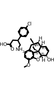 COc1ccc2c3c1O[C@H]1[C@@H](O)C=C[C@H]4[C@@H](C2)N(C)CC[C@@]341.NCC(CC(=O)O)c1ccc(Cl)cc1